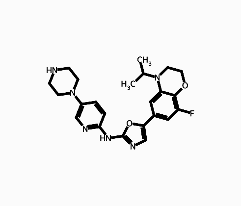 CC(C)N1CCOc2c(F)cc(-c3cnc(Nc4ccc(N5CCNCC5)cn4)o3)cc21